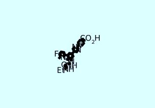 CCNC(=O)Nc1nc2cc(-c3cnc(N4CCC(C)(C(=O)O)CC4)nc3)cc(-c3ccc(F)c(C)n3)c2s1